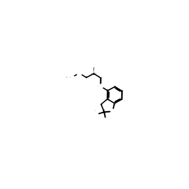 C[C@H](COC=O)COc1cccc2c1CC(C)(C)O2